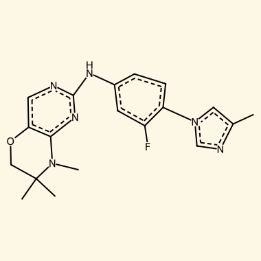 Cc1cn(-c2ccc(Nc3ncc4c(n3)N(C)C(C)(C)CO4)cc2F)cn1